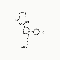 COCCOc1ncc(C(=O)N[C@H]2CCCC[C@@H]2O)cc1-c1ccc(Cl)cc1